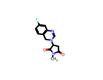 CN1C(=O)CC(N2C=Nc3cc(F)ccc3C2)C1=O